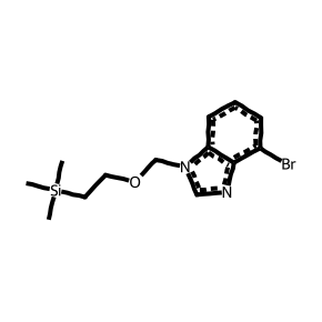 C[Si](C)(C)CCOCn1cnc2c(Br)cccc21